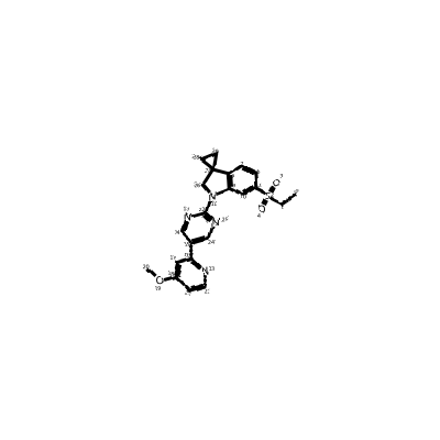 CCS(=O)(=O)c1ccc2c(c1)N(c1ncc(-c3cc(OC)ccn3)cn1)CC21CC1